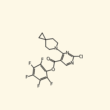 O=C(Oc1c(F)c(F)c(F)c(F)c1F)c1cnc(Cl)nc1N1CCC2(CC1)CC2